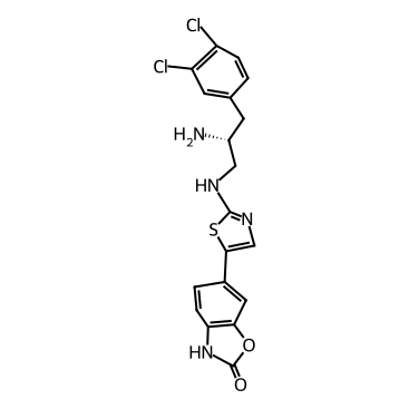 N[C@@H](CNc1ncc(-c2ccc3[nH]c(=O)oc3c2)s1)Cc1ccc(Cl)c(Cl)c1